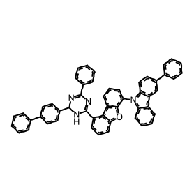 c1ccc(C2=NC(c3ccc(-c4ccccc4)cc3)NC(c3cccc4oc5c(-n6c7ccccc7c7cc(-c8ccccc8)ccc76)cccc5c34)=N2)cc1